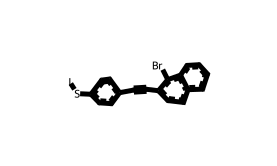 Brc1c(C#Cc2ccc(SI)cc2)ccc2ccccc12